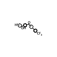 O=C(c1ccc(C2(O)CCNCC2)cc1)N1CCC(c2ccc(C(F)(F)F)cc2)CC1